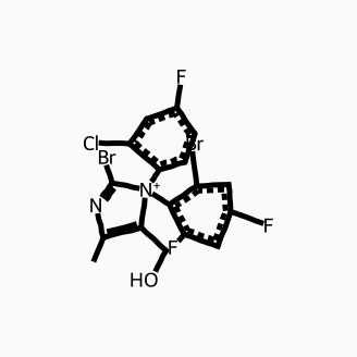 CC1=C(CO)[N+](c2ccc(F)cc2Cl)(c2c(F)cc(F)cc2Br)C(Br)=N1